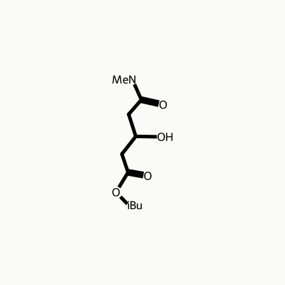 CCC(C)OC(=O)CC(O)CC(=O)NC